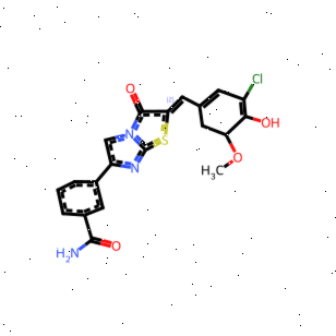 COC1CC(/C=c2\sc3nc(-c4cccc(C(N)=O)c4)cn3c2=O)=CC(Cl)=C1O